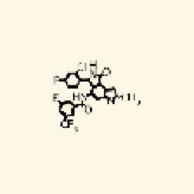 Cn1cc2c3c(c(NC(=O)c4cc(F)cc(C(F)(F)F)c4)cc2n1)C(c1ccc(F)cc1Cl)NC3=O